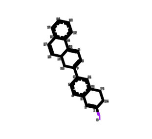 IC1=Cc2ccc(C3=CC=C4c5ccccc5C=CC4C3)cc2CC1